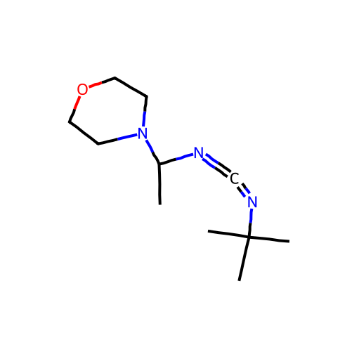 CC(N=C=NC(C)(C)C)N1CCOCC1